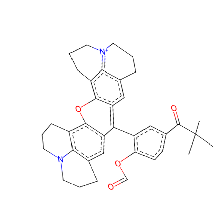 CC(C)(C)C(=O)c1ccc(OC=O)c(C2=c3cc4c5c(c3Oc3c2cc2c6c3CCCN6CCC2)CCC[N+]=5CCC4)c1